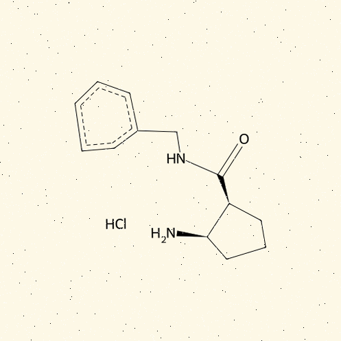 Cl.N[C@@H]1CCC[C@@H]1C(=O)NCc1ccccc1